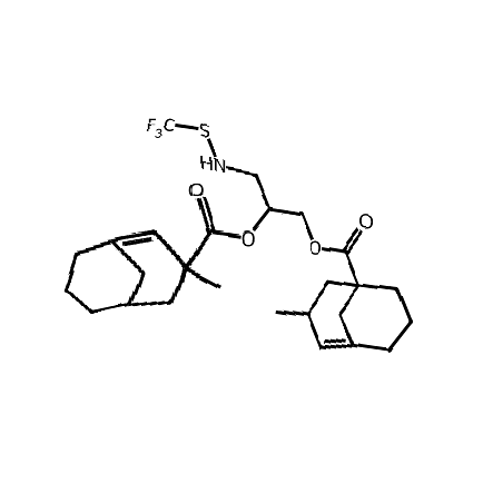 CC1C=C2CCCC(C(=O)OCC(CNSC(F)(F)F)OC(=O)C3(C)C=C4CCCC(C4)C3)(C2)C1